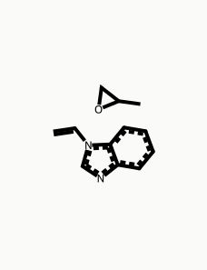 C=Cn1cnc2ccccc21.CC1CO1